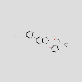 COc1ccc(F)c(-c2ccc3c(c2)CC[C@H]3Oc2cccc([C@H](C3CC3)[C@H](C)C(=O)O)c2)c1